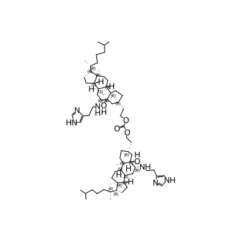 CC(C)CCC[C@@H](C)[C@H]1CC[C@H]2[C@@H]3C[C@@H](NCCc4c[nH]cn4)[C@@]4(O)C[C@@H](CCOC(=O)OCC[C@H]5CC[C@]6(C)[C@H]7CC[C@]8(C)[C@@H]([C@H](C)CCCC(C)C)CC[C@H]8[C@@H]7C[C@@H](NCCc7c[nH]cn7)[C@@]6(O)C5)CC[C@]4(C)[C@H]3CC[C@]12C